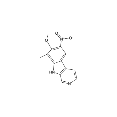 COc1c([N+](=O)[O-])cc2c([nH]c3cnccc32)c1C